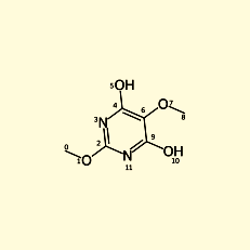 COc1nc(O)c(OC)c(O)n1